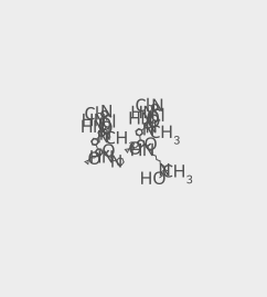 CCn1nc(-c2cccc(-c3cc(OCC4CC4)cc(C(=O)NCCCCCCCN(C)CCO)c3)c2)cc(NC(=O)Nc2c(Cl)cncc2Cl)c1=O.CCn1nc(-c2cccc(-c3cc(OCC4CC4)cc(C(=O)NCCN4CCCCC4)c3)c2)cc(NC(=O)Nc2c(Cl)cncc2Cl)c1=O